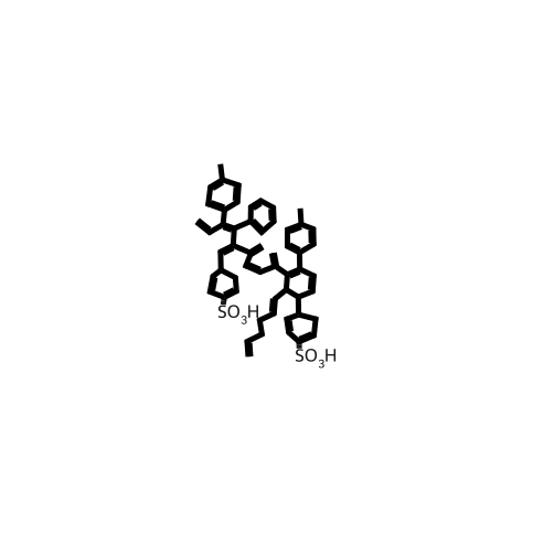 C=CCC/C=C/C1C(C(=C)/C=C\C(=C)C(=C\C2C=CC(S(=O)(=O)O)=CC2)/C(=C(\C=C)c2ccc(C)cc2)c2ccccc2)=C(c2ccc(C)cc2)C=CC1C1C=CC(S(=O)(=O)O)=CC1